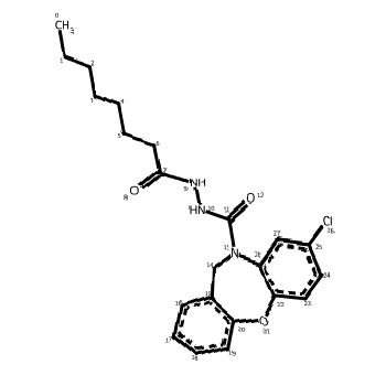 CCCCCCCC(=O)NNC(=O)N1Cc2ccccc2Oc2ccc(Cl)cc21